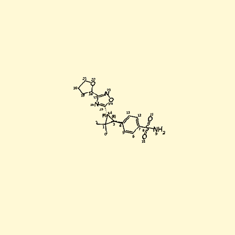 CC1(C)[C@H](c2ccc(S(N)(=O)=O)cc2)[C@H]1c1nc(C2CCCO2)no1